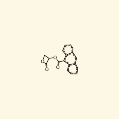 O=C(OC1COC1=O)c1c2ccccc2cc2ccccc12